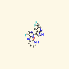 O=C1NCCCC[C@@H]1Nc1nc(-c2c[nH]c3ncc(C(F)(F)F)cc23)ncc1F